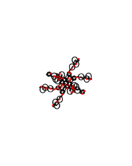 C=CC(=O)OCCOCCc1ccc(Oc2cc3c4c(cc(Oc5ccc(CCOCCOC(=O)C=C)cc5)c5c6c(Oc7ccc(CCOCCOC(=O)C=C)cc7)cc7c8c(cc(Oc9ccc(CCOCCOC(=O)C=C)cc9)c(c2c45)c86)C(=O)N(C(C(=O)OCc2ccccc2)C(C)CC)C7=O)C(=O)N(C(C(=O)OCc2ccccc2)C(C)CC)C3=O)cc1